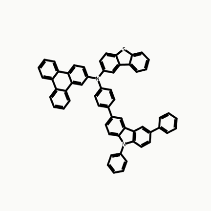 c1ccc(-c2ccc3c(c2)c2cc(-c4ccc(N(c5ccc6sc7ccccc7c6c5)c5ccc6c7ccccc7c7ccccc7c6c5)cc4)ccc2n3-c2ccccc2)cc1